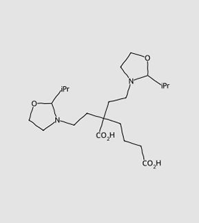 CC(C)C1OCCN1CCC(CCCC(=O)O)(CCN1CCOC1C(C)C)C(=O)O